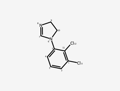 Clc1cccc(N2C=NCC2)c1Cl